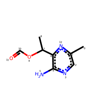 Cc1cnc(N)c(C(C)OC=O)n1